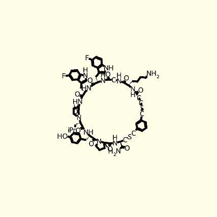 CC(C)C[C@H]1C(=O)N[C@@H](Cc2ccc(O)cc2)C(=O)N2CCC[C@@]2(C)C(=O)N[C@H](C(N)=O)CSCc2cccc(c2)CSCCC(=O)N[C@@H](CCCCN)C(=O)NCC(=O)N[C@@H](Cc2c[nH]c3ccc(F)cc23)C(=O)N[C@@H](Cc2c[nH]c3ccc(F)cc23)C(=O)N[C@H]2CCN1C2=O